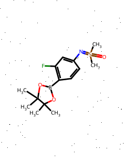 CC1(C)OB(c2ccc(N=S(C)(C)=O)cc2F)OC1(C)C